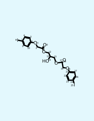 O=C(COc1ccc(I)cc1)OCC(O)COC(=O)COc1ccc(I)cc1